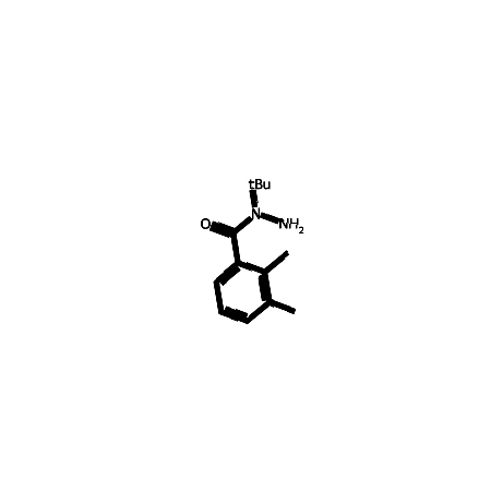 Cc1cccc(C(=O)N(N)C(C)(C)C)c1C